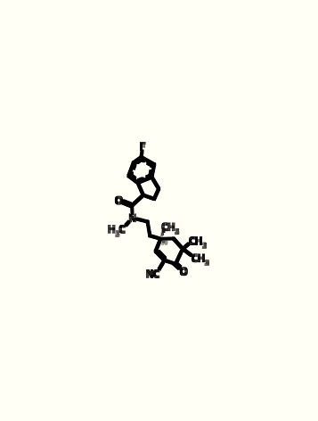 CN(CC[C@]1(C)C=C(C#N)C(=O)C(C)(C)C1)C(=O)C1CCc2cc(F)ccc21